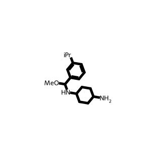 COC(NC1CCC(N)CC1)c1cccc(C(C)C)c1